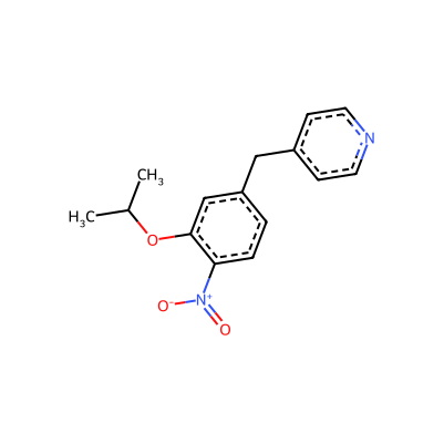 CC(C)Oc1cc(Cc2ccncc2)ccc1[N+](=O)[O-]